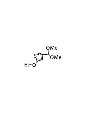 CCOc1cc(C(OC)OC)cs1